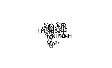 O=C(c1ncc[nH]1)N(C(=S)S)N(C(=S)[S-])N1CCCN1.O=C(c1ncc[nH]1)N(C(=S)S)N(C(=S)[S-])N1CCCN1.[O]=[Mo+2]=[O]